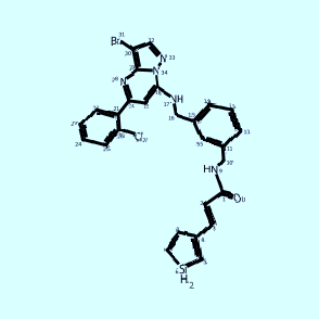 O=C(/C=C/C1=C[SiH2]C=C1)NCc1cccc(CNc2cc(-c3ccccc3Cl)nc3c(Br)cnn23)c1